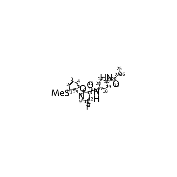 CSc1cccc(Oc2ncc(F)cc2C(=O)N[C@H]2CC[C@@H](NC(=O)C3CC3)CC2)c1